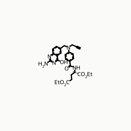 C#CCN(Cc1ccc2nc(N)nc(O)c2c1)c1ccc(C(=O)N[C@@H](CCC(=O)OCC)C(=O)OCC)cc1